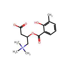 Cc1cccc(C(=O)OC(CC(=O)[O-])C[N+](C)(C)C)c1O